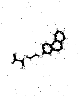 C=C(C)C(=O)OCCOc1ccc2c(ccc3ccccc32)c1